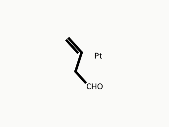 C=CCC=O.[Pt]